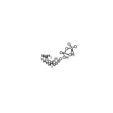 O.O.O.O.O.O.O.O=P(O)(O)OS(=O)(=O)[O-].[MgH2].[Na+]